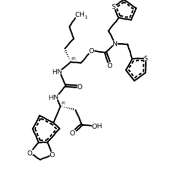 CCCC[C@H](COC(=O)N(Cc1cccs1)Cc1cccs1)NC(=O)N[C@H](CC(=O)O)c1ccc2c(c1)OCO2